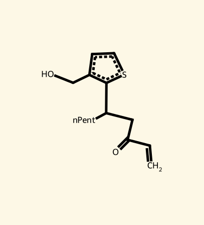 C=CC(=O)CC(CCCCC)c1sccc1CO